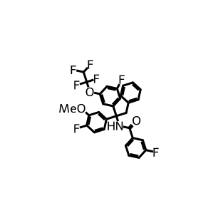 COc1cc(C(Cc2ccccc2)(NC(=O)c2cccc(F)c2)c2cc(F)cc(OC(F)(F)C(F)F)c2)ccc1F